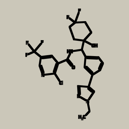 CCn1cc(-c2cccc(C(NC(=O)c3cc(C(F)(F)F)cnc3Cl)C3(O)CCC(F)(F)CC3)c2)cn1